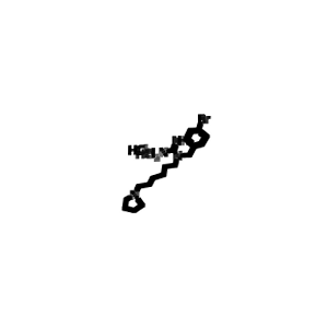 Cl.Cl.N=C(N)N(CCCCCCN1CCCC1)Cc1ccc(Br)cc1